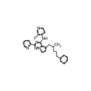 CC(CCCc1ccccc1)Cc1ccn2nc(-c3ccccn3)nc(Nc3ccncc3F)c12